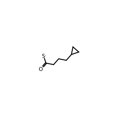 O=C([S])CCCC1CC1